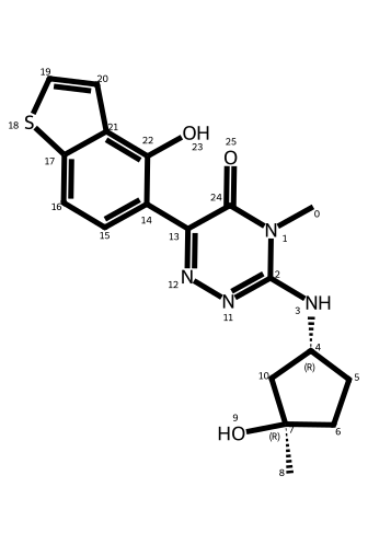 Cn1c(N[C@@H]2CC[C@@](C)(O)C2)nnc(-c2ccc3sccc3c2O)c1=O